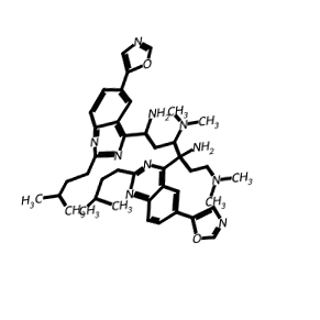 CC(C)CCc1nc(C(N)CC(N(C)C)C(N)(CCN(C)C)c2nc(CCC(C)C)nc3ccc(-c4cnco4)cc23)c2cc(-c3cnco3)ccc2n1